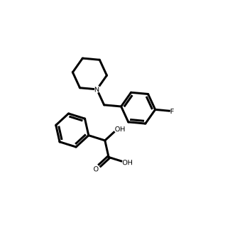 Fc1ccc(CN2CCCCC2)cc1.O=C(O)C(O)c1ccccc1